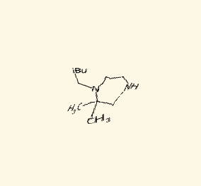 CCC(C)CN1CCNCC1(C)C